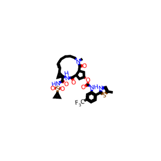 Cc1cnc(-c2ccc(C(F)(F)F)cc2NC(=O)OC2CC3C(=O)NC4(C(=O)NS(=O)(=O)C5CC5)CC4/C=C/CCCCN(C)C(=O)C3C2)s1